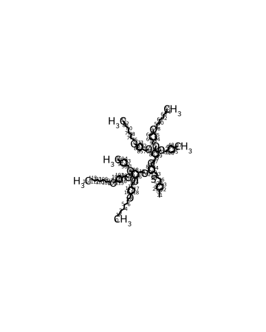 CCCCCCCCOc1ccc(COc2cc(COc3cc(CC(=S)Cc4ccc(I)cc4)cc(OCc4cc(OCc5ccc(C)cc5)c(OCc5ccc(OCCCCCCCC)cc5)c(OCc5ccc(OCCCCCCCC)cc5)c4)c3)cc(OCc3ccc(C)cc3)c2OCc2ccc(OCCCCCCCC)cc2)cc1